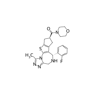 Cc1nnc2n1-c1sc3c(c1[C@H](c1ccccc1F)NC2)C[C@H](C(=O)N1CCOCC1)C3